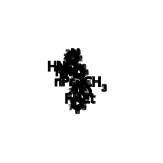 CCCc1cn(-c2c(F)cccc2CC)c(=O)n1C(C)c1ccc(-c2cnccc2-c2nnn[nH]2)cc1